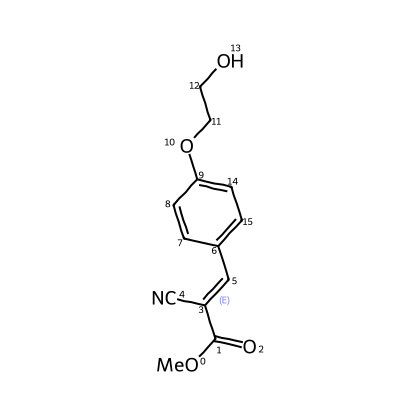 COC(=O)/C(C#N)=C/c1ccc(OCCO)cc1